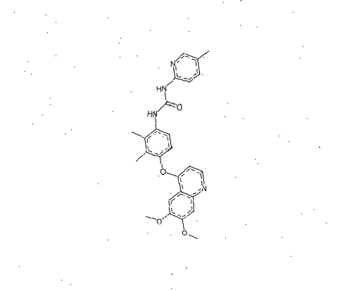 COc1cc2nccc(Oc3ccc(NC(=O)Nc4ccc(C)cn4)c(C)c3C)c2cc1OC